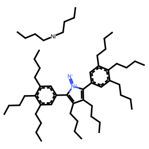 CCCCC1=C(c2cc(CCCC)c(CCCC)c(CCCC)c2)[N+](=[N-])C(c2cc(CCCC)c(CCCC)c(CCCC)c2)=C1CCCC.CCC[CH2][Ni][CH2]CCC